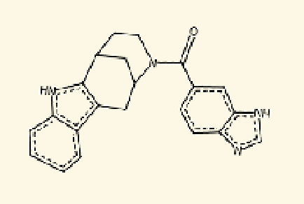 O=C(c1ccc2nc[nH]c2c1)N1CCC2CC1Cc1c2[nH]c2ccccc12